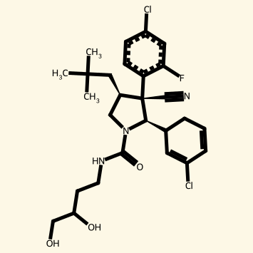 CC(C)(C)C[C@@H]1CN(C(=O)NCCC(O)CO)[C@H](C2C=C(Cl)C=CC2)[C@@]1(C#N)c1ccc(Cl)cc1F